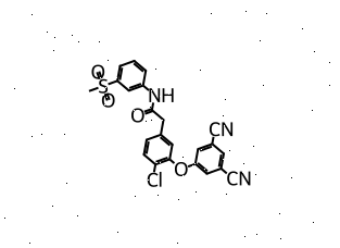 CS(=O)(=O)c1cccc(NC(=O)Cc2ccc(Cl)c(Oc3cc(C#N)cc(C#N)c3)c2)c1